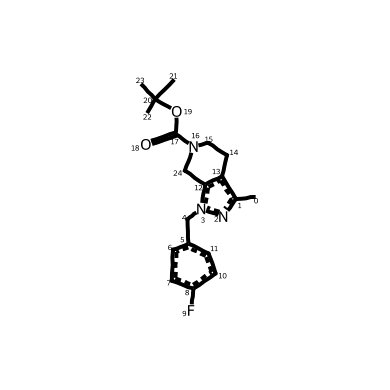 Cc1nn(Cc2ccc(F)cc2)c2c1CCN(C(=O)OC(C)(C)C)C2